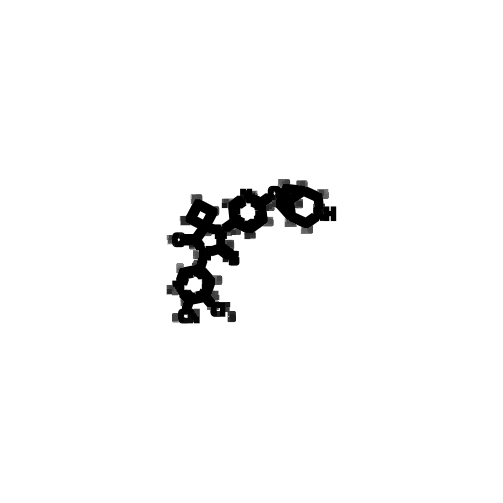 N#Cc1ncc(N2C(=O)C3(CCC3)N(c3ccc(OC4C5CCC4CNC5)nc3)C2=S)cc1C(F)(F)F